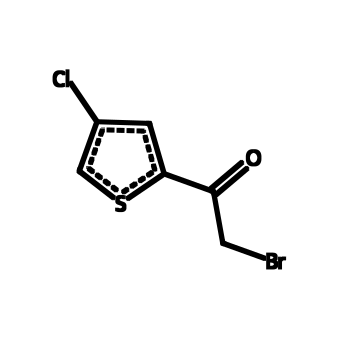 O=C(CBr)c1cc(Cl)cs1